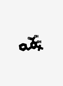 CC(C)(C)c1cc(Cc2ccccc2)cc(C(=O)O)c1O